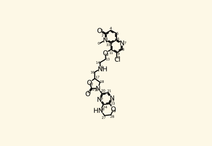 Cn1c(=O)ccc2ncc(Cl)c(OCCNCC3CN(c4cnc5c(n4)NCCO5)C(=O)O3)c21